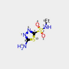 CCNS(=O)(=O)c1nnc(N)s1